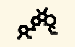 COCC1(C)CCOc2c(c3cc(Nc4ccnc(Cl)c4C#N)ccc3n(C)c2=O)N1